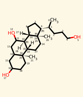 CC(CCCO)[C@H]1CC[C@H]2[C@@H]3C(O)CC4CC(O)CC[C@]4(C)[C@H]3CC[C@]12C